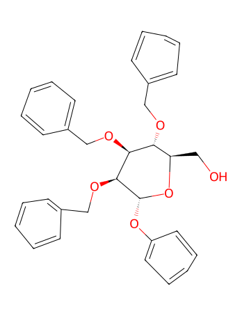 OC[C@H]1O[C@H](Oc2ccccc2)[C@@H](OCc2ccccc2)[C@@H](OCc2ccccc2)[C@@H]1OCc1ccccc1